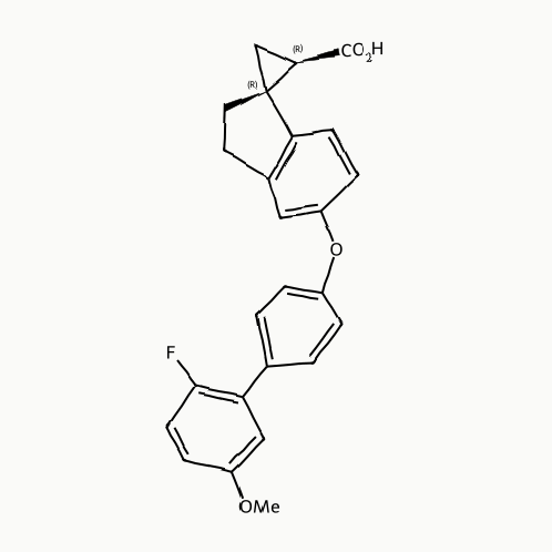 COc1ccc(F)c(-c2ccc(Oc3ccc4c(c3)CC[C@]43C[C@H]3C(=O)O)cc2)c1